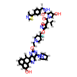 Cc1ncsc1-c1ccc([C@H](C)NC(=O)[C@@H]2C[C@@H](O)CN2C(=O)[C@@H](c2cc(OCC3(F)CCN(CCOc4nc(N5CC6CCC(C5)N6)c5cnc6c(c5n4)C(C)c4cccc5cc(O)cc-6c45)CC3)no2)C(C)C)cc1